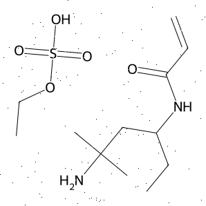 C=CC(=O)NC(CC)CC(C)(C)N.CCOS(=O)(=O)O